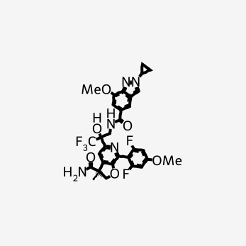 COc1cc(F)c(-c2nc(C(O)(CNC(=O)c3cc(OC)c4nn(C5CC5)cc4c3)C(F)(F)F)cc3c2OC[C@]3(C)C(N)=O)c(F)c1